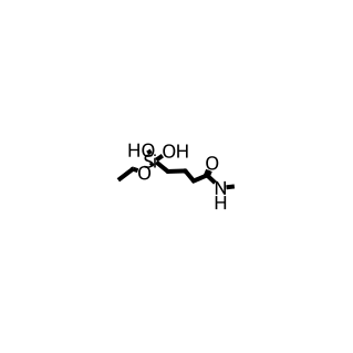 CCO[Si](O)(O)CCCC(=O)NC